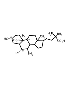 BC1C2C3CCC(CCC(B)(B)C(=O)O)C3(C)CC[C@@H]2C2(C)CC[C@@H](O)CC2[C@H]1CC